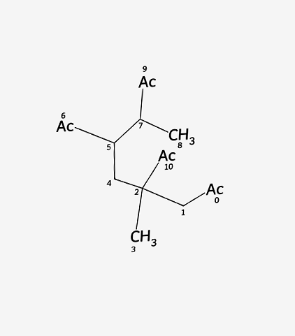 CC(=O)CC(C)(CC(C(C)=O)C(C)C(C)=O)C(C)=O